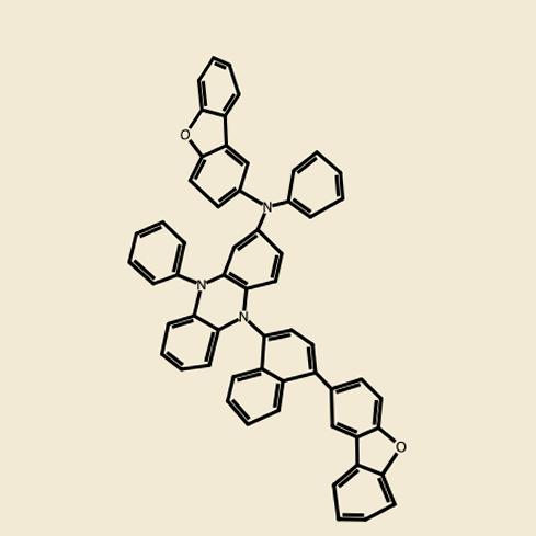 c1ccc(N(c2ccc3c(c2)N(c2ccccc2)c2ccccc2N3c2ccc(-c3ccc4oc5ccccc5c4c3)c3ccccc23)c2ccc3oc4ccccc4c3c2)cc1